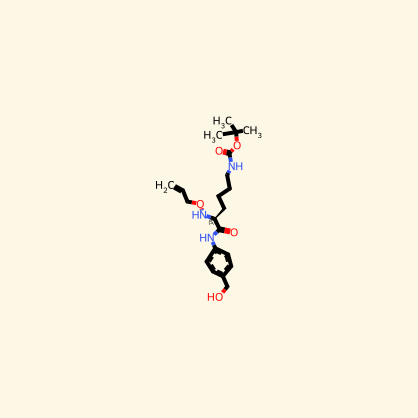 C=CCON[C@@H](CCCCNC(=O)OC(C)(C)C)C(=O)Nc1ccc(CO)cc1